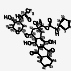 CC(OC(=O)Nc1ccccc1)[C@]1(O)Cc2c(O)c3c(c(O)c2[C@@H](O[C@H]2C[C@H](NC(=O)C(F)(F)F)[C@H](O)[C@H](C)O2)C1)C(=O)c1ccccc1C3=O